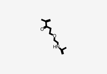 C=C(C)NCCOCCC(=O)C(=C)C